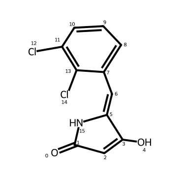 O=C1C=C(O)C(=Cc2cccc(Cl)c2Cl)N1